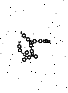 C=Cc1ccc(OCCCCC2(c3ccccc3)c3ccccc3-c3ccc(N(c4ccccc4)c4ccc(-c5ccc6c(c5)c5cc(-c7ccc(C(C)(C)C)cc7)ccc5n6-c5ccc(-c6ccc(C=C)cc6)cc5)cc4)cc32)cc1